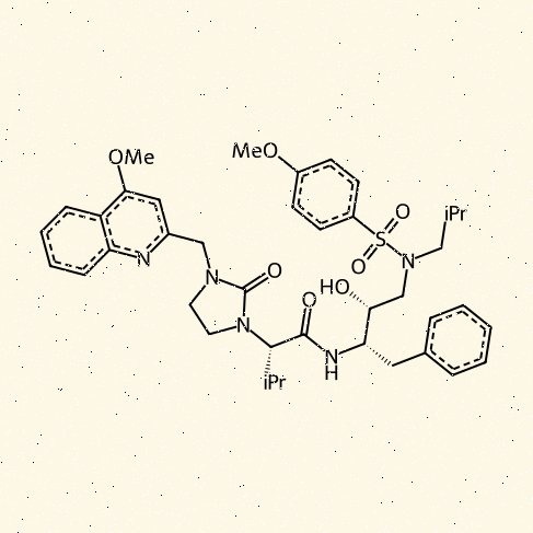 COc1ccc(S(=O)(=O)N(CC(C)C)C[C@@H](O)[C@H](Cc2ccccc2)NC(=O)[C@H](C(C)C)N2CCN(Cc3cc(OC)c4ccccc4n3)C2=O)cc1